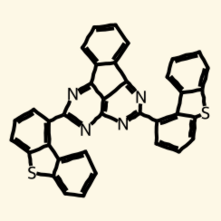 c1ccc2c(c1)-c1nc(-c3cccc4sc5ccccc5c34)nc3nc(-c4cccc5sc6ccccc6c45)nc-2c13